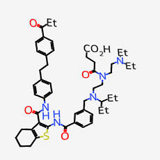 CCC(=O)c1ccc(CCc2ccc(NC(=O)c3c(NC(=O)c4cccc(CN(CCN(CCN(CC)CC)C(=O)CCC(=O)O)C(CC)CC)c4)sc4c3CCCC4)cc2)cc1